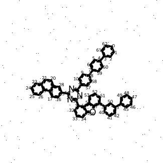 c1ccc(-c2ccc(-c3ccc(-c4nc(-c5ccc6c(ccc7ccccc76)c5)nc(-c5cccc6oc7c(-c8cccc(-c9ccccc9)c8)cccc7c56)n4)cc3)cc2)cc1